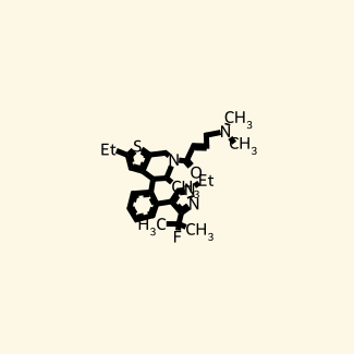 CCc1cc2c(s1)CN(C(=O)/C=C/CN(C)C)C(C)C2c1ccccc1-c1cn(CC)nc1C(C)(C)F